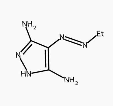 CCN=Nc1c(N)n[nH]c1N